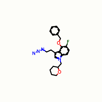 [N-]=[N+]=NCCc1cn(CC2CCCCO2)c2ccc(F)c(OCc3ccccc3)c12